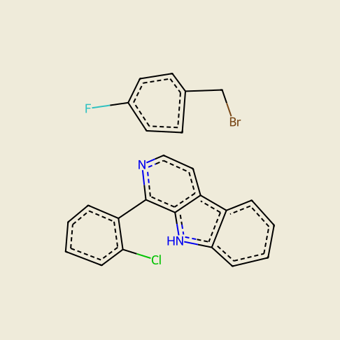 Clc1ccccc1-c1nccc2c1[nH]c1ccccc12.Fc1ccc(CBr)cc1